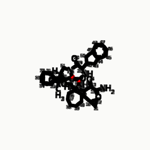 CC1(C)[C@@H]2[C@@H](C(=O)NC(CC3CC3)C(=O)C(N)=O)N(C(=O)[C@@H](NC(=O)NC3(COCc4ccccc4)CCCCCC3)C3Cc4ccccc4C3)C[C@@H]21